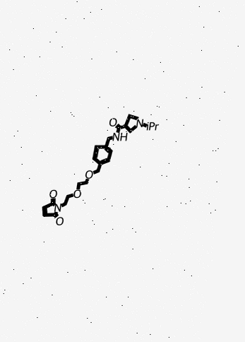 CC(C)N1CCC(C(=O)NCc2ccc(COCCOCCN3C(=O)C=CC3=O)cc2)C1